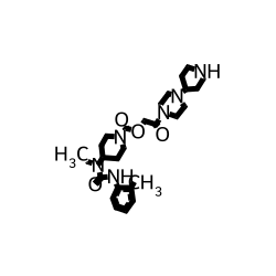 CCN(C(=O)Nc1ccccc1C)C1CCN(C(=O)OCC(=O)N2CCN(C3CCNCC3)CC2)CC1